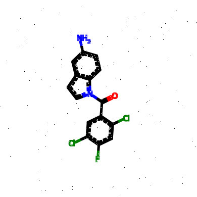 Nc1ccc2c(ccn2C(=O)c2cc(Cl)c(F)cc2Cl)c1